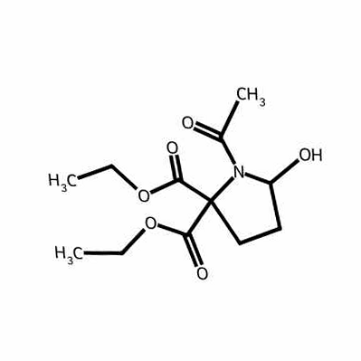 CCOC(=O)C1(C(=O)OCC)CCC(O)N1C(C)=O